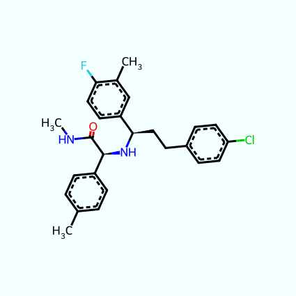 CNC(=O)[C@@H](N[C@H](CCc1ccc(Cl)cc1)c1ccc(F)c(C)c1)c1ccc(C)cc1